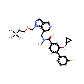 CN(Cc1cncc2cnn(COCC[Si](C)(C)C)c12)C(=O)c1ccc(-c2cccc(F)c2)c(OC2CC2)c1